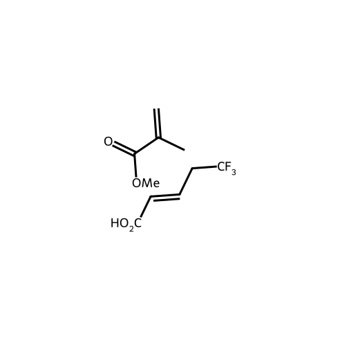 C=C(C)C(=O)OC.O=C(O)C=CCC(F)(F)F